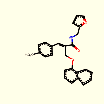 O=C(NCc1ccco1)/C(=C/c1ccc(C(=O)O)cc1)COc1cccc2ccccc12